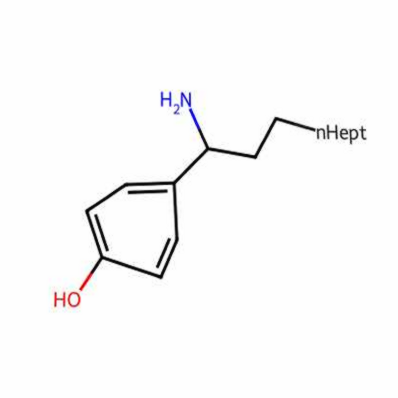 CCCCCCCCCC(N)c1ccc(O)cc1